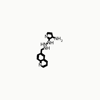 NC1C=CN=C1NNNCc1ccc2ncccc2c1